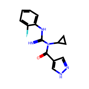 N=C(Nc1ccccc1F)N(C(=O)c1cn[nH]c1)C1CC1